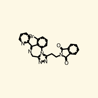 O=C1c2ccccc2C(=O)N1CCc1nnc2n1-c1cccc(Br)c1C(c1ccccn1)=NC2